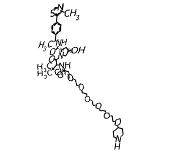 Cc1ncsc1-c1ccc(C(C)NC(=O)[C@@H]2C[C@@H](O)CN2C(=O)C(NC(=O)COCCOCCOCCOCCOCCOC2CCNCC2)C(C)(C)C)cc1